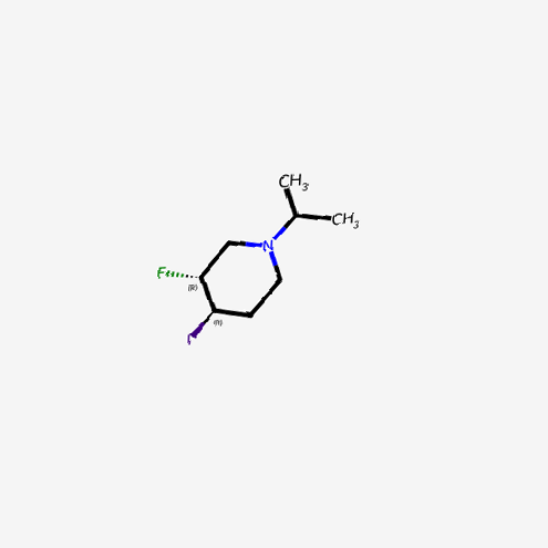 CC(C)N1CC[C@@H](I)[C@H](F)C1